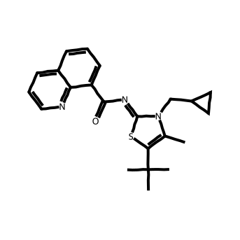 Cc1c(C(C)(C)C)s/c(=N\C(=O)c2cccc3cccnc23)n1CC1CC1